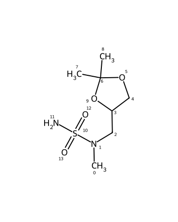 CN(CC1COC(C)(C)O1)S(N)(=O)=O